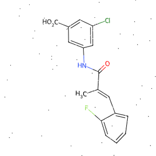 CC(=Cc1ccccc1F)C(=O)Nc1cc(Cl)cc(C(=O)O)c1